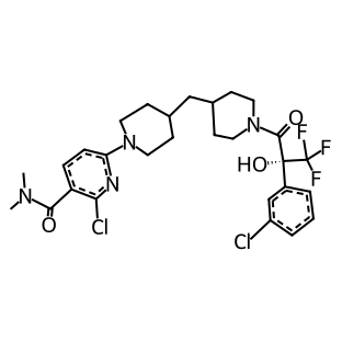 CN(C)C(=O)c1ccc(N2CCC(CC3CCN(C(=O)[C@](O)(c4cccc(Cl)c4)C(F)(F)F)CC3)CC2)nc1Cl